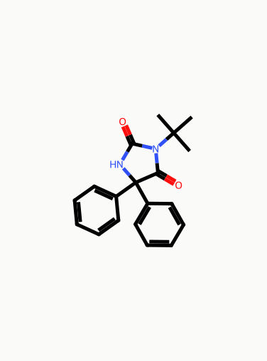 CC(C)(C)N1C(=O)NC(c2ccccc2)(c2ccccc2)C1=O